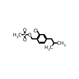 CC(C)Cc1ccc(COS(C)(=O)=O)c(Cl)c1